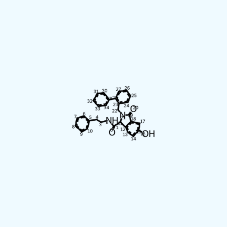 O=C(NCCc1ccccc1)C1c2ccc(O)cc2C(=O)N1Cc1ccccc1-c1ccccc1